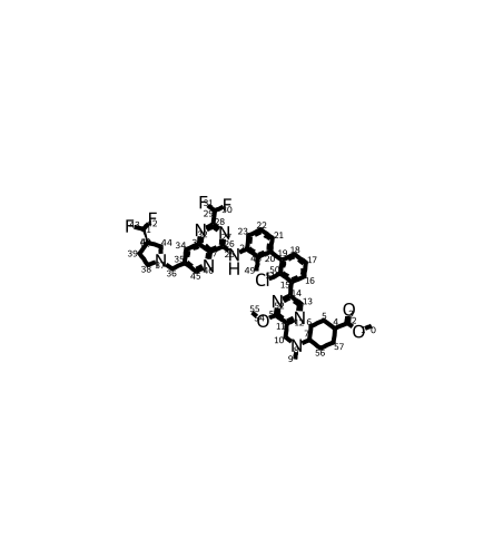 COC(=O)C1CCC(N(C)Cc2ncc(-c3cccc(-c4cccc(Nc5nc(C(F)F)nc6cc(CN7CC[C@@H](C(F)F)C7)cnc56)c4C)c3Cl)nc2OC)CC1